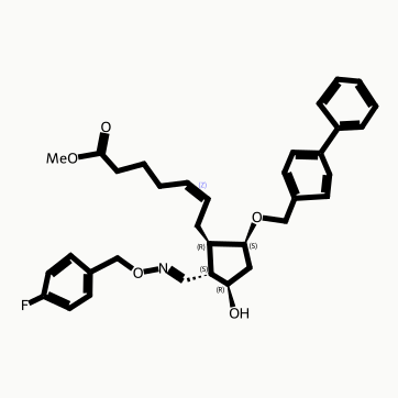 COC(=O)CCC/C=C\C[C@@H]1[C@@H](C=NOCc2ccc(F)cc2)[C@H](O)C[C@@H]1OCc1ccc(-c2ccccc2)cc1